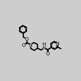 Cc1cc(C(=O)NCC2CCN(C(=O)OCc3ccccc3)CC2)ccn1